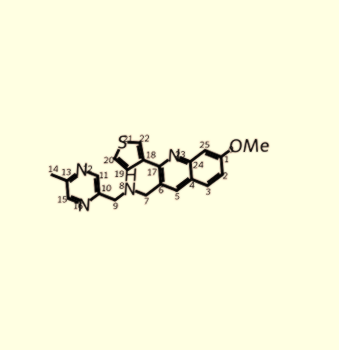 COc1ccc2cc(CNCc3cnc(C)cn3)c(-c3ccsc3)nc2c1